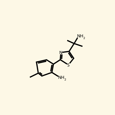 Cc1ccc(-c2nc(C(C)(C)N)cs2)c(N)c1